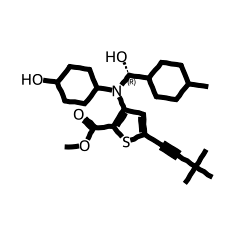 COC(=O)c1sc(C#CC(C)(C)C)cc1N(C1CCC(O)CC1)[C@H](O)C1CCC(C)CC1